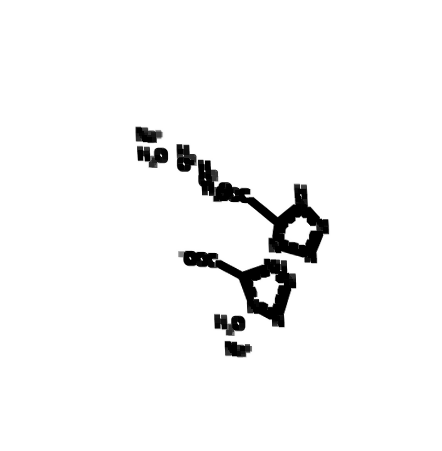 O.O.O.O.O.O=C([O-])c1nnn[nH]1.O=C([O-])c1nnn[nH]1.[Na+].[Na+]